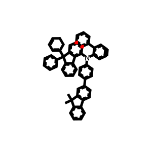 CC1(C)c2ccccc2-c2ccc(-c3ccc(N(c4cc#ccc4-c4ccccc4)c4cccc5c4-c4ccccc4C5(C4=CC=CCC4)c4ccccc4)cc3)cc21